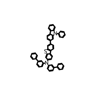 c1ccc(-c2cccc(N(c3cccc(-c4ccccc4)c3)c3ccc4c(c3)sc3cc(-c5ccc6c7ccccc7n(-c7ccccc7)c6c5)ccc34)c2)cc1